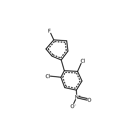 O=[N+]([O-])c1cc(Cl)c(-c2ccc(F)cc2)c(Cl)c1